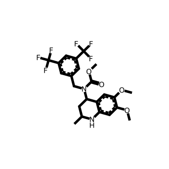 COC(=O)N(Cc1cc(C(F)(F)F)cc(C(F)(F)F)c1)C1CC(C)Nc2cc(OC)c(OC)cc21